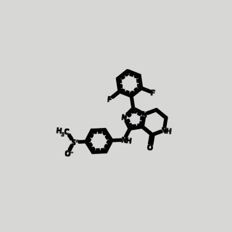 C[S+]([O-])c1ccc(Nc2nc(-c3c(F)cccc3F)n3c2C(=O)NCC3)cc1